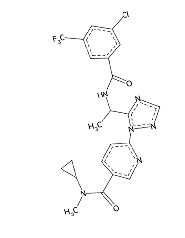 CC(NC(=O)c1cc(Cl)cc(C(F)(F)F)c1)c1ncnn1-c1ccc(C(=O)N(C)C2CC2)cn1